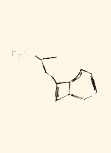 CCOC(=O)C(CC1=Cc2ccccc21)C(=O)OCC